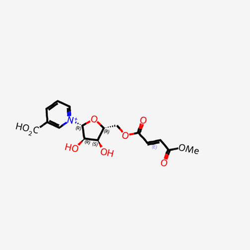 COC(=O)/C=C/C(=O)OC[C@H]1O[C@@H]([n+]2cccc(C(=O)O)c2)[C@H](O)[C@@H]1O